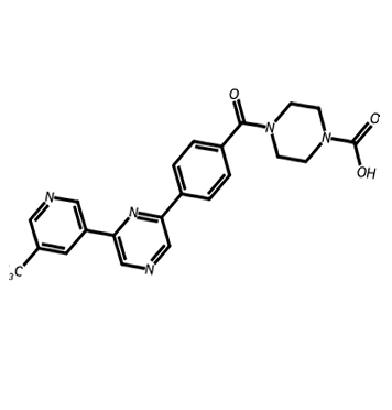 Cc1cncc(-c2cncc(-c3ccc(C(=O)N4CCN(C(=O)O)CC4)cc3)n2)c1